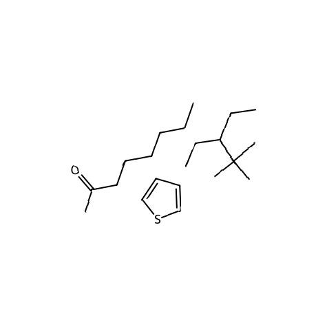 CCC(CC)C(C)(C)C.CCCCCCC(C)=O.c1ccsc1